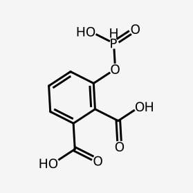 O=C(O)c1cccc(O[PH](=O)O)c1C(=O)O